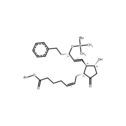 CC(C)OC(=O)CCC/C=C\C[C@H]1C(=O)C[C@@H](O)[C@@H]1/C=C/[C@H](CCc1ccccc1)O[Si](C)(C)C(C)(C)C